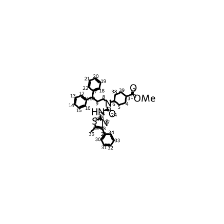 COC(=O)C1CCC(N(CCC(c2ccccc2)c2ccccc2)C(=O)Nc2nc(-c3ccccc3)c(C)s2)CC1